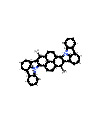 CC(C)c1c2ccc3c4c(ccc(c24)c2c1c1cccc4c5ccccc5n2c41)c(C(C)C)c1c2cccc4c5ccccc5n(c42)c31